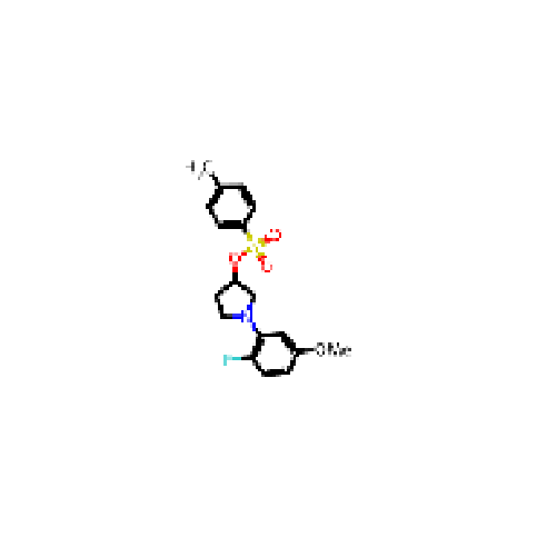 COc1ccc(F)c(N2CCC(OS(=O)(=O)c3ccc(C)cc3)C2)c1